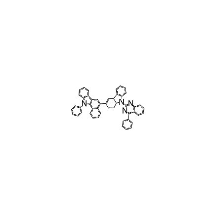 C1=CC2C(C=C1c1cc3c4ccccc4n(-c4ccccc4)c3c3ccccc13)c1ccccc1N2c1nc(-c2ccccc2)c2ccccc2n1